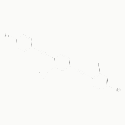 CCCCc1ccc(C#Cc2ccc(C#Cc3ccc(CCC)cc3)c(C3CC3)c2)c(F)c1